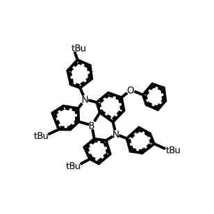 CC(C)(C)c1ccc(N2c3ccc(C(C)(C)C)cc3B3c4cc(C(C)(C)C)ccc4N(c4ccc(C(C)(C)C)cc4)c4cc(Oc5ccccc5)cc2c43)cc1